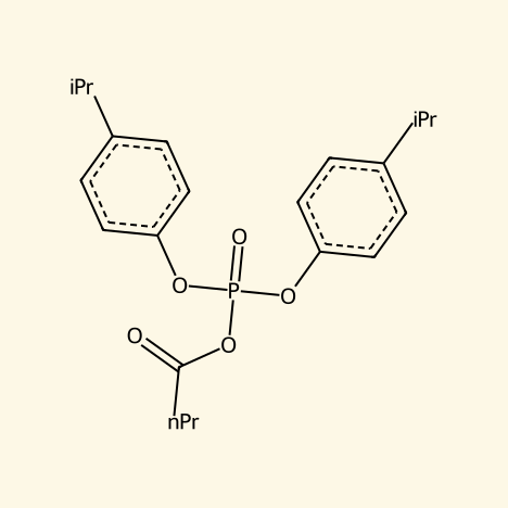 CCCC(=O)OP(=O)(Oc1ccc(C(C)C)cc1)Oc1ccc(C(C)C)cc1